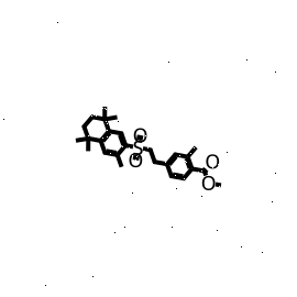 COC(=O)c1ccc(CCS(=O)(=O)c2cc3c(cc2C)C(C)(C)CCC3(C)C)cc1C